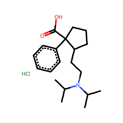 CC(C)N(CCC1CCCC1(C(=O)O)c1ccccc1)C(C)C.Cl